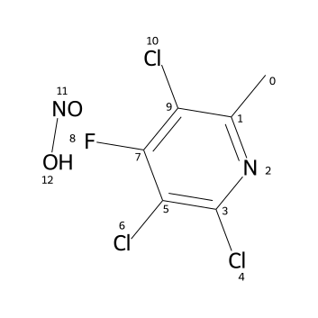 Cc1nc(Cl)c(Cl)c(F)c1Cl.O=NO